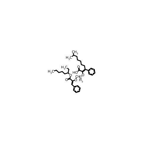 CCCCCC(CC)OC(=O)C(=Cc1ccccc1)OC.COC(C(=O)O)=C(CCCCCC(C)C)c1ccccc1